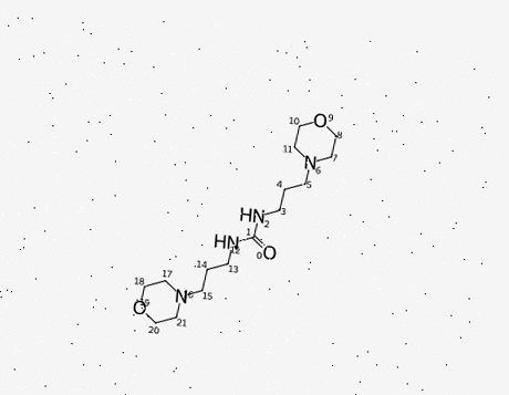 O=C(NCCCN1CCOCC1)NCCCN1CCOCC1